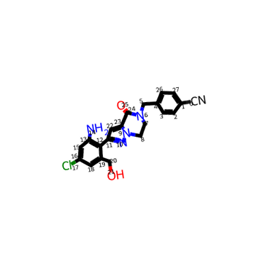 N#Cc1ccc(CN2CCn3nc(-c4c(N)cc(Cl)cc4CO)cc3C2=O)cc1